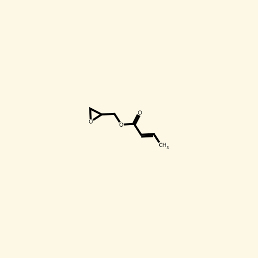 CC=CC(=O)OCC1CO1